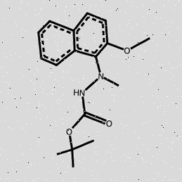 COc1ccc2ccccc2c1N(C)NC(=O)OC(C)(C)C